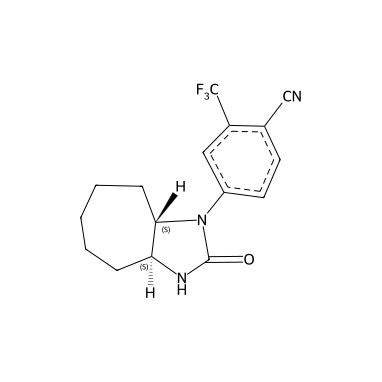 N#Cc1ccc(N2C(=O)N[C@H]3CCCCC[C@@H]32)cc1C(F)(F)F